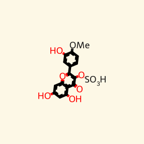 COc1ccc(-c2oc3cc(O)cc(O)c3c(=O)c2OS(=O)(=O)O)cc1O